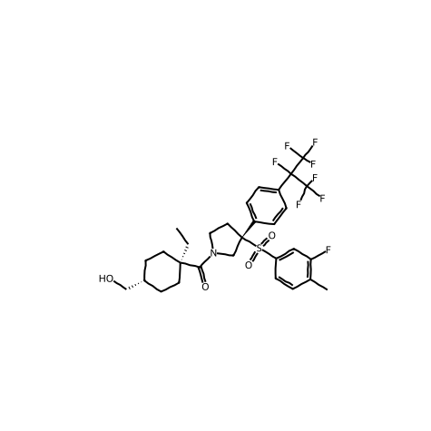 CC[C@]1(C(=O)N2CC[C@](c3ccc(C(F)(C(F)(F)F)C(F)(F)F)cc3)(S(=O)(=O)c3ccc(C)c(F)c3)C2)CC[C@H](CO)CC1